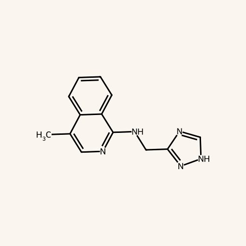 Cc1cnc(NCc2nc[nH]n2)c2ccccc12